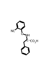 N#Cc1ccccc1ON[C@@H](Cc1ccccc1)C(=O)O